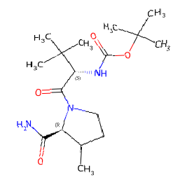 CC1CCN(C(=O)[C@@H](NC(=O)OC(C)(C)C)C(C)(C)C)[C@@H]1C(N)=O